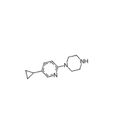 c1cc(N2CCNCC2)ncc1C1CC1